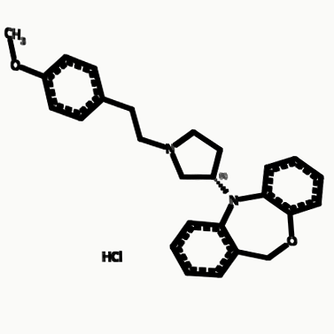 COc1ccc(CCN2CC[C@H](N3c4ccccc4COc4ccccc43)C2)cc1.Cl